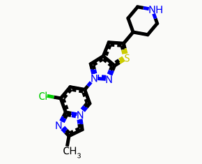 Cc1cn2cc(-n3cc4cc(C5CCNCC5)sc4n3)cc(Cl)c2n1